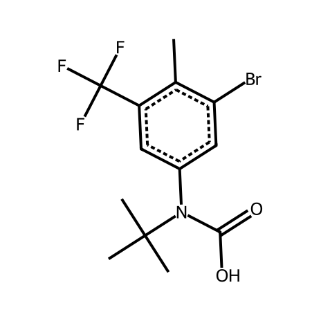 Cc1c(Br)cc(N(C(=O)O)C(C)(C)C)cc1C(F)(F)F